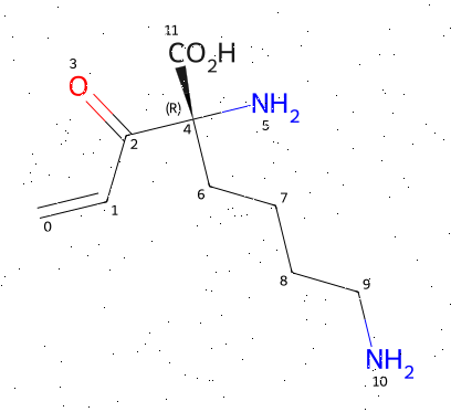 C=CC(=O)[C@](N)(CCCCN)C(=O)O